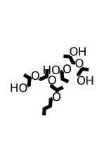 CC(O)COC(C)CO.CCC(=O)O.CCCCOC(C)COC(C)COC(C)CO